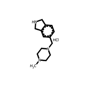 CN1CCN(Cc2ccc3c(c2)CNC3)CC1.Cl